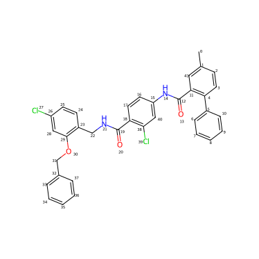 Cc1ccc(-c2ccccc2)c(C(=O)Nc2ccc(C(=O)NCc3ccc(Cl)cc3OCc3ccccc3)c(Cl)c2)c1